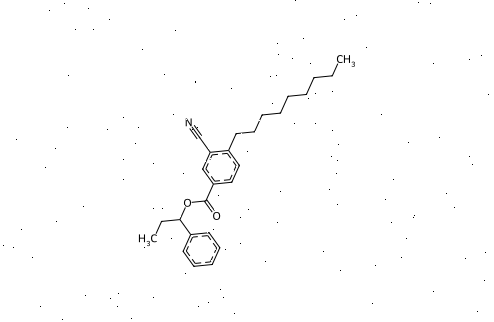 CCCCCCCCCc1ccc(C(=O)OC(CC)c2ccccc2)cc1C#N